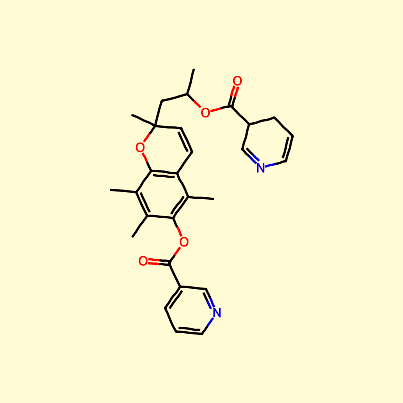 Cc1c(C)c2c(c(C)c1OC(=O)c1cccnc1)C=CC(C)(CC(C)OC(=O)C1C=NC=CC1)O2